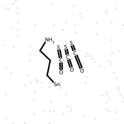 NCC[CH2][Sn].O=C=S.O=C=S.O=C=S